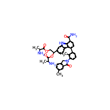 Cc1ccc2c(c1)C(=O)N(c1cccc(-c3ccc(C(N)=O)c4[nH]c5cc(C(COC(=O)C(C)N)OC(=O)C(C)N)ccc5c34)c1C)C2